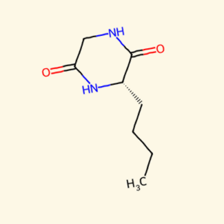 CCCC[C@@H]1NC(=O)CNC1=O